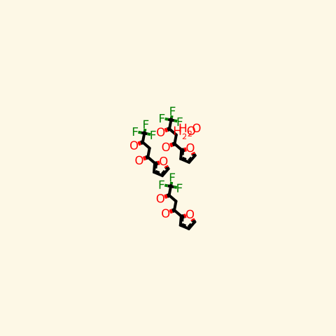 O.O.O=C(CC(=O)C(F)(F)F)c1ccco1.O=C(CC(=O)C(F)(F)F)c1ccco1.O=C(CC(=O)C(F)(F)F)c1ccco1